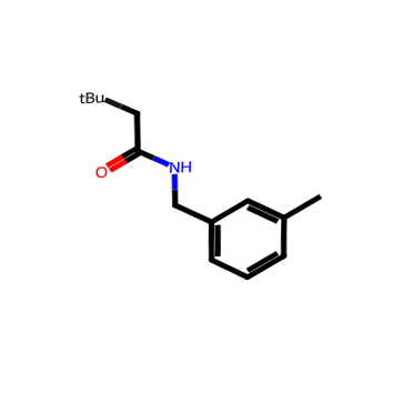 Cc1cccc(CNC(=O)CC(C)(C)C)c1